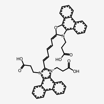 O=C(O)CCN1\C(=C/C=C/C=C/c2n(CCC(=O)O)c3c4ccccc4c4ccccc4c3[n+]2CCC(=O)O)Oc2c1c1ccccc1c1ccccc21